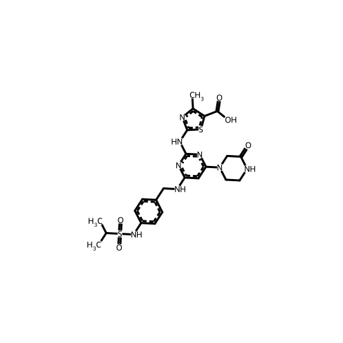 Cc1nc(Nc2nc(NCc3ccc(NS(=O)(=O)C(C)C)cc3)cc(N3CCNC(=O)C3)n2)sc1C(=O)O